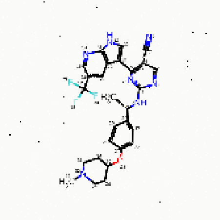 C[C@@H](Nc1ncc(C#N)c(-c2c[nH]c3ncc(C(F)(F)F)cc23)n1)c1ccc(OC2CCN(C)CC2)cc1